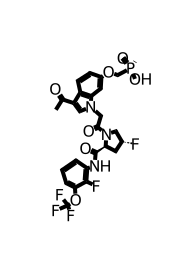 CC(=O)c1cn(CC(=O)N2C[C@H](F)C[C@H]2C(=O)Nc2cccc(OC(F)(F)F)c2F)c2cc(OCP(C)(=O)O)ccc12